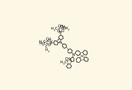 CC1(C)c2ccccc2-c2ccc(N(c3ccc(-c4ccc(-n5c6ccc(B7OC(C)(C)C(C)(C)O7)cc6c6cc(B7OC(C)(C)C(C)(C)O7)ccc65)cc4)cc3)c3ccc4c(c3)C3(c5ccccc5-c5ccccc53)c3ccccc3-4)cc21